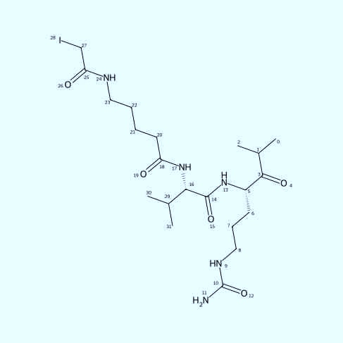 CC(C)C(=O)[C@H](CCCNC(N)=O)NC(=O)[C@@H](NC(=O)CCCCNC(=O)CI)C(C)C